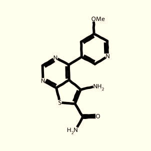 COc1cncc(-c2ncnc3sc(C(N)=O)c(N)c23)c1